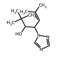 CC(C)=CC(C(O)C(C)(C)C)n1cncn1